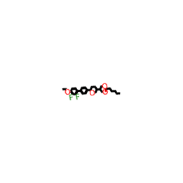 CCCCCC1OCC(C2CCC(c3ccc(-c4ccc(OCC)c(F)c4F)cc3)OC2)CO1